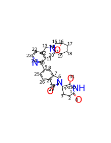 O=C1CCC(N2Cc3cc(-c4cc(CN5CC6CCC(C5)O6)ccn4)ccc3C2=O)C(=O)N1